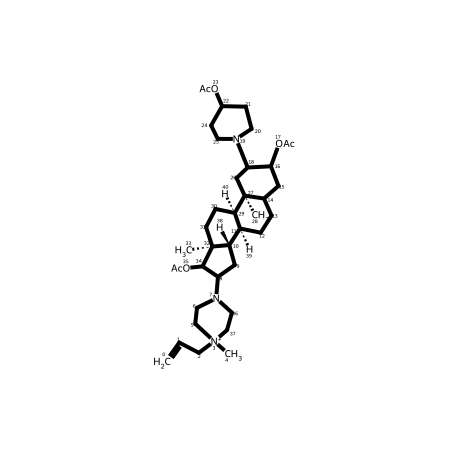 C=CC[N+]1(C)CCN(C2C[C@H]3[C@@H]4CCC5CC(OC(C)=O)C(N6CCC(OC(C)=O)CC6)C[C@]5(C)[C@@H]4CC[C@]3(C)C2OC(C)=O)CC1